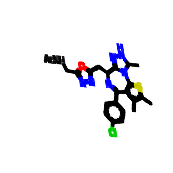 CC(=O)NCc1nnc(C[C@@H]2N=C(c3ccc(Cl)cc3)c3c(sc(C)c3C)N3C2=NNC3C)o1